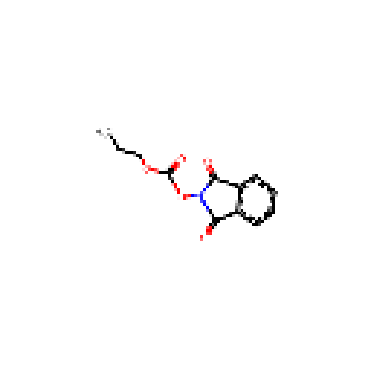 CCCOC(=O)ON1C(=O)c2ccccc2C1=O